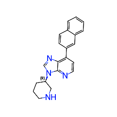 c1ccc2cc(-c3ccnc4c3ncn4[C@@H]3CCCNC3)ccc2c1